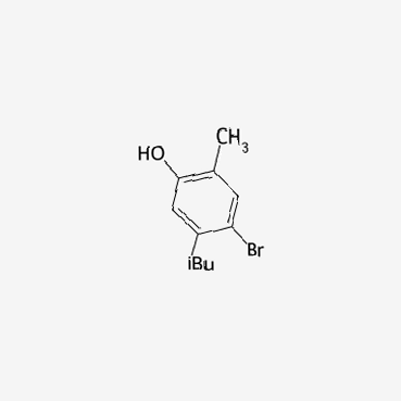 CCC(C)c1cc(O)c(C)cc1Br